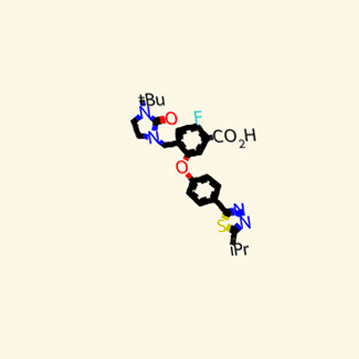 CC(C)c1nnc(-c2ccc(Oc3cc(C(=O)O)c(F)cc3CN3CCN(C(C)(C)C)C3=O)cc2)s1